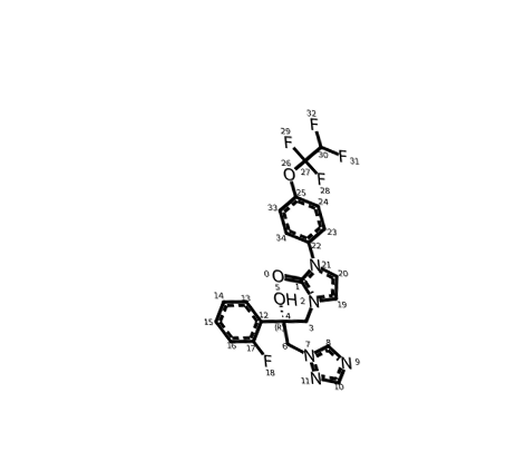 O=c1n(C[C@@](O)(Cn2cncn2)c2ccccc2F)ccn1-c1ccc(OC(F)(F)C(F)F)cc1